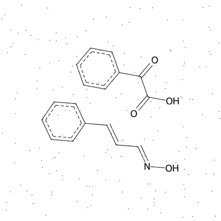 O=C(O)C(=O)c1ccccc1.ON=CC=Cc1ccccc1